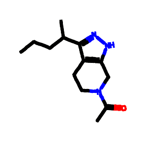 CCCC(C)c1n[nH]c2c1CCN(C(C)=O)C2